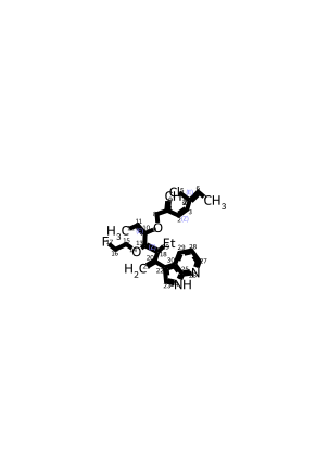 C=C(/C=C\C(Cl)=C/C)COC(=C/C)/C(OCCF)=C(\CC)C(=C)c1c[nH]c2ncccc12